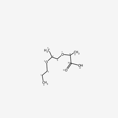 CCCOC(C)COC(C)C(=O)O